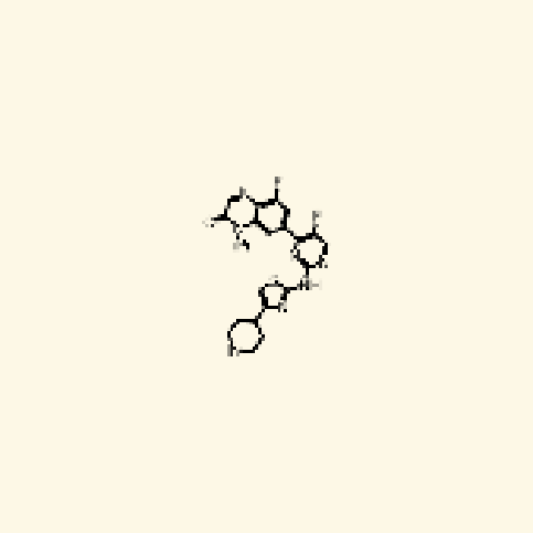 CC(C)n1c(=O)cnc2c(F)cc(-c3nc(Nc4nc(C5CCNCC5)cs4)ncc3F)cc21